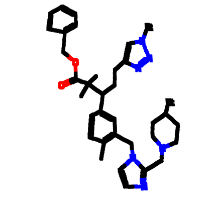 CCC1CCN(Cc2nccn2Cc2cc(C(CCc3cn(CC)nn3)C(C)(C)C(=O)OCc3ccccc3)ccc2C)CC1